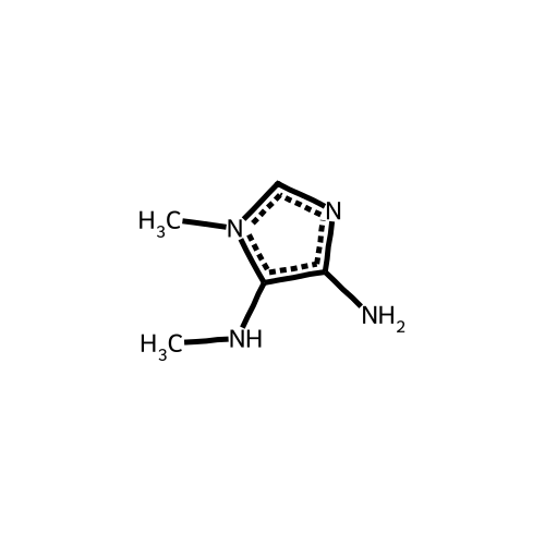 CNc1c(N)ncn1C